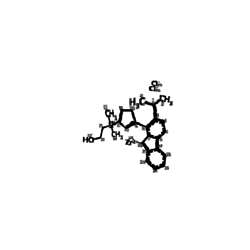 CC(C)=c1ccc2c(c1C1=CC([Si](C)(C)CCO)=CC1)[C]([Zr+2])=c1ccccc1=2.[Cl-].[Cl-]